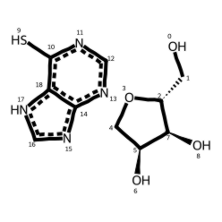 OC[C@H]1OC[C@H](O)[C@@H]1O.Sc1ncnc2nc[nH]c12